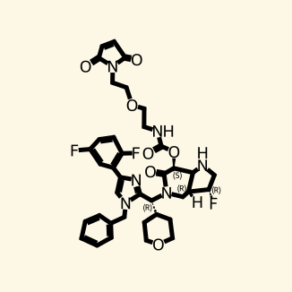 O=C(NCCOCCN1C(=O)C=CC1=O)O[C@@H]1C(=O)N([C@@H](c2nc(-c3cc(F)ccc3F)cn2Cc2ccccc2)C2CCOCC2)C[C@@H]2C1NC[C@@H]2F